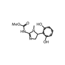 COC(=O)NC1=NCC(c2c(O)cccc2O)N1C